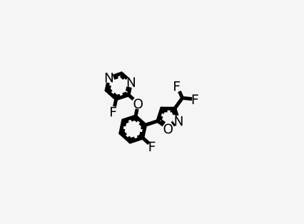 Fc1cncnc1Oc1cccc(F)c1-c1cc(C(F)F)no1